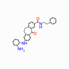 Nc1ccccc1Nc1ccc2c(c1)CCc1ccc(C(=O)NCCc3ccccc3)cc1C2=O